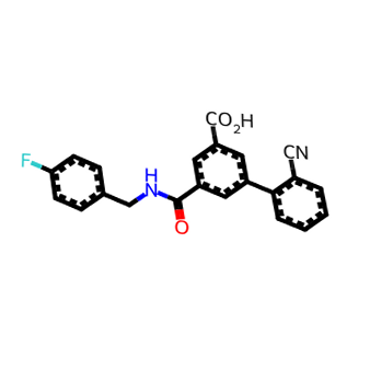 N#Cc1ccccc1-c1cc(C(=O)O)cc(C(=O)NCc2ccc(F)cc2)c1